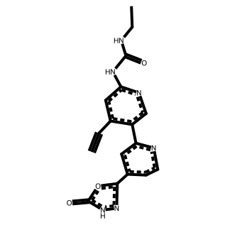 C#Cc1cc(NC(=O)NCC)ncc1-c1cc(-c2n[nH]c(=O)o2)ccn1